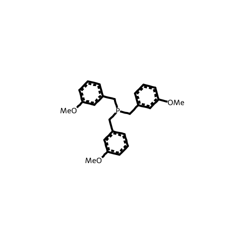 COc1cccc(CP(Cc2cccc(OC)c2)Cc2cccc(OC)c2)c1